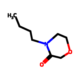 CCCCN1CCOCC1=O